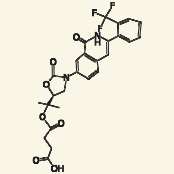 CC(C)(OC(=O)CCC(=O)O)[C@@H]1CN(c2ccc3cc(-c4ccccc4C(F)(F)F)[nH]c(=O)c3c2)C(=O)O1